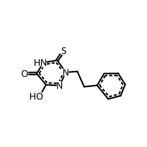 O=c1[nH]c(=S)n(CCc2ccccc2)nc1O